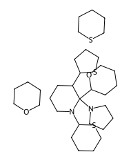 C1CCC(C2(N3CCCC3)C(C3CCCS3)CCCN2C2CCCCS2)OC1.C1CCOCC1.C1CCSCC1